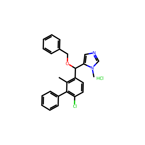 Cc1c(C(OCc2ccccc2)c2cncn2C)ccc(Cl)c1-c1ccccc1.Cl